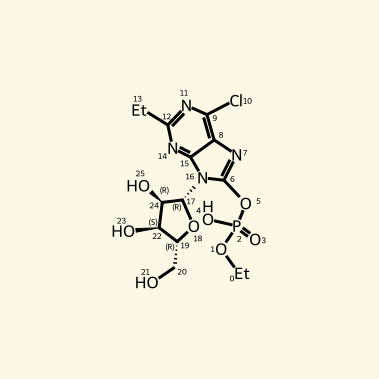 CCOP(=O)(O)Oc1nc2c(Cl)nc(CC)nc2n1[C@@H]1O[C@H](CO)[C@@H](O)[C@H]1O